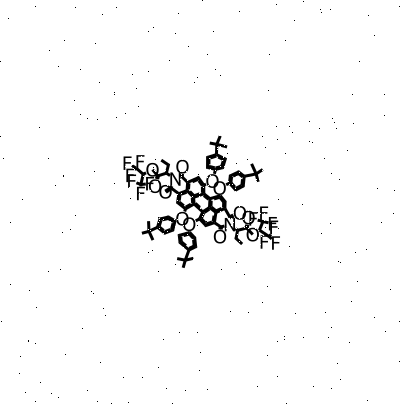 CCC(C(=O)OC(C(F)(F)F)C(F)(F)F)N1C(=O)c2cc(Oc3ccc(C(C)(C)C)cc3)c3c4c(Oc5ccc(C(C)(C)C)cc5)cc5c6c(cc(Oc7ccc(C(C)(C)C)cc7)c(c7c(Oc8ccc(C(C)(C)C)cc8)cc(c2c37)C1=O)c64)C(=O)N(C(CC)C(=O)OC(C(F)(F)F)C(F)(F)F)C5=O